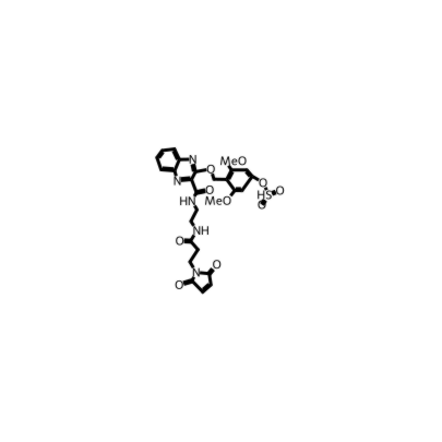 COc1cc(O[SH](=O)=O)cc(OC)c1COc1nc2ccccc2nc1C(=O)NCCNC(=O)CCN1C(=O)C=CC1=O